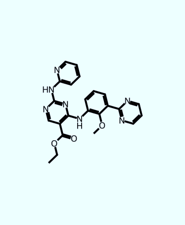 CCOC(=O)c1cnc(Nc2ccccn2)nc1Nc1cccc(-c2ncccn2)c1OC